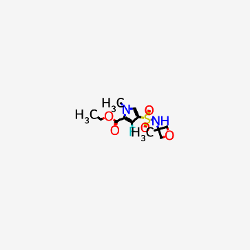 CCOC(=O)c1c(F)c(S(=O)(=O)NC2(C)COC2)cn1C